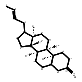 CC=CCC1CC[C@H]2[C@@H]3CCC4CC(=O)CC[C@]4(C)[C@@H]3CC[C@]12C